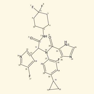 O=C(NC1CCC(F)(F)CC1)C(c1cncc(F)c1)N(C(=O)c1cnc[nH]1)c1ccc(C2CC2)cc1F